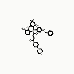 CC1(C)CC(=O)C2=C(C1)NC1=C(O)CCC=C1N(C(=O)CCC(=O)N1CCC(N3CCOCC3)CC1)[C@@H]2c1ccc(OCc2ccccc2)cc1Cl